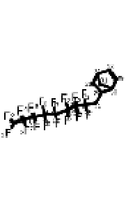 FC(F)C(F)(F)C(F)(F)C(F)(F)C(F)(F)C(F)(F)C(F)(F)C(F)(F)CC1CC2C=CC1C2